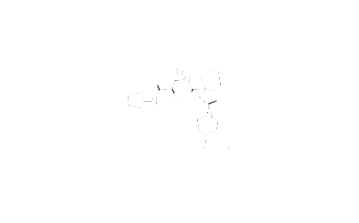 CCC[C@H](NC(=O)C1(NC(=O)N2CCC(C(=O)OCC)CC2)CCCCC1)C(=O)C(=O)NC1CCCC1